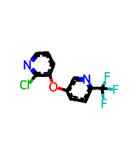 FC(F)(F)c1ccc(Oc2cccnc2Cl)cn1